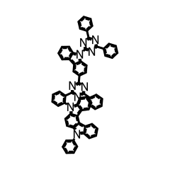 c1ccc(-c2nc(-c3ccc4c(c3)c3ccccc3n4-c3nc(-c4ccccc4)nc(-c4ccccc4)n3)nc(-c3ccccc3-n3c4ccccc4c4c5c6ccccc6n(-c6ccccc6)c5ccc43)n2)cc1